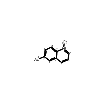 CC[n+]1cccc2cc(C(C)=O)ccc21